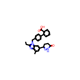 CCc1nc2c(C)cc(C3=NNC(=O)CC3)cc2n1Cc1ccc(-c2ccccc2C(=O)O)cc1